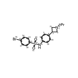 CCCN1CC(c2ccc(NS(=O)(=O)c3ccc(Br)cc3)cc2)C1